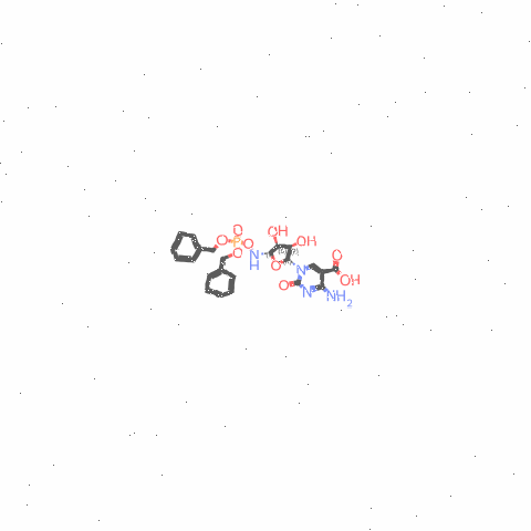 Nc1nc(=O)n([C@@H]2O[C@H](NOP(=O)(OCc3ccccc3)OCc3ccccc3)[C@@H](O)[C@H]2O)cc1C(=O)O